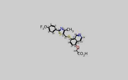 Cc1nc(-c2ccc(C(F)(F)F)cc2)sc1CSc1ccc(OCC(=O)O)c2ccncc12